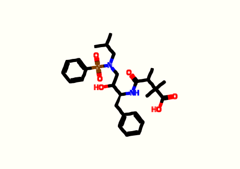 CC(C)CN(CC(O)[C@H](Cc1ccccc1)NC(=O)C(C)C(C)(C)C(=O)O)S(=O)(=O)c1ccccc1